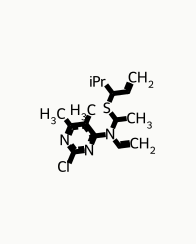 C=CC(SC(C)N(C=C)c1nc(Cl)nc(C)c1C)C(C)C